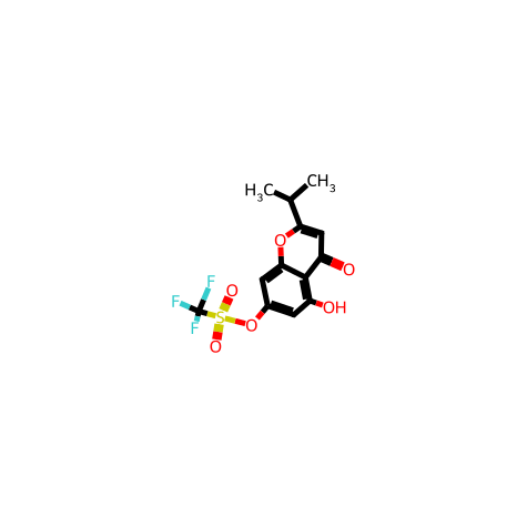 CC(C)c1cc(=O)c2c(O)cc(OS(=O)(=O)C(F)(F)F)cc2o1